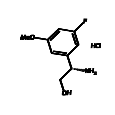 COc1cc(F)cc([C@H](N)CO)c1.Cl